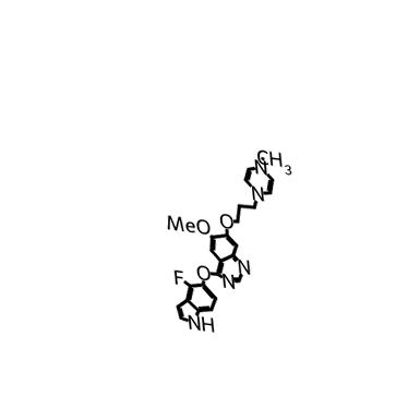 COc1cc2c(Oc3ccc4[nH]ccc4c3F)ncnc2cc1OCCCN1C=CN(C)C=C1